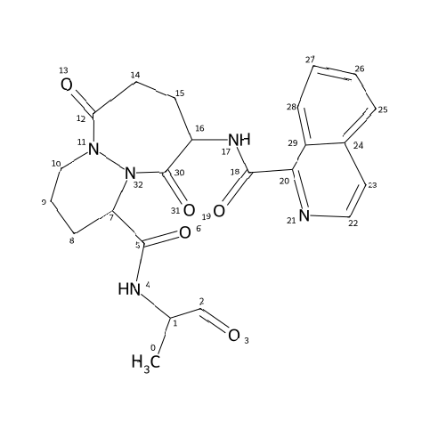 CC(C=O)NC(=O)C1CCCN2C(=O)CCC(NC(=O)c3nccc4ccccc34)C(=O)N12